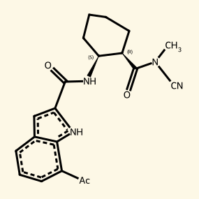 CC(=O)c1cccc2cc(C(=O)N[C@H]3CCCC[C@H]3C(=O)N(C)C#N)[nH]c12